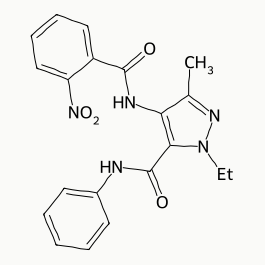 CCn1nc(C)c(NC(=O)c2ccccc2[N+](=O)[O-])c1C(=O)Nc1ccccc1